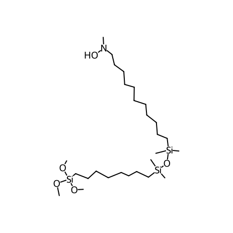 CO[Si](CCCCCCCC[Si](C)(C)O[Si](C)(C)CCCCCCCCCCCN(C)O)(OC)OC